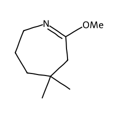 COC1=NCCCC(C)(C)C1